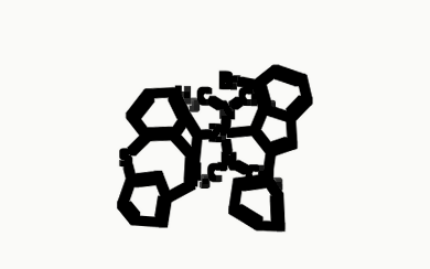 C[N](C)[Zr]([CH]1C2=Cc3c(cccc31)Sc1cccc2c1)([CH]1C(c2ccccc2)=Cc2cccc(Br)c21)[N](C)C